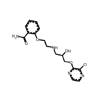 NC(=O)c1ccccc1OCCNCC(O)COc1nccnc1Cl